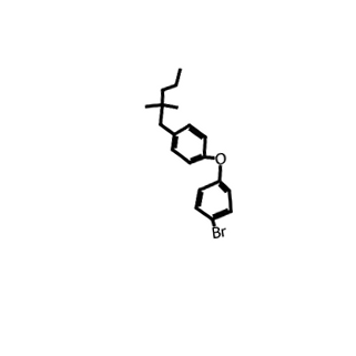 CCCC(C)(C)Cc1ccc(Oc2ccc(Br)cc2)cc1